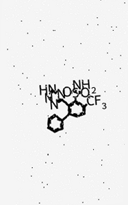 NS(=O)(=O)c1c(C(F)(F)F)ccc(-c2ccccc2)c1-c1nn[nH]n1